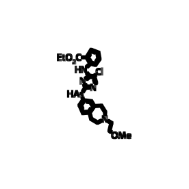 CCOC(=O)c1ccccc1Nc1nc([AsH]c2ccc3c(c2)CCN(CCOC)CC3)ncc1Cl